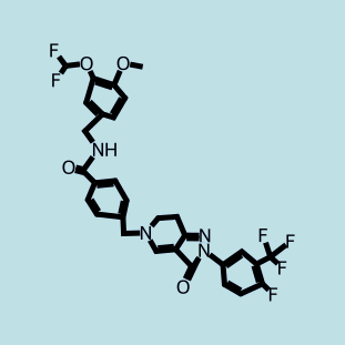 COc1ccc(CNC(=O)c2ccc(CN3C=C4C(=O)N(c5ccc(F)c(C(F)(F)F)c5)N=C4CC3)cc2)cc1OC(F)F